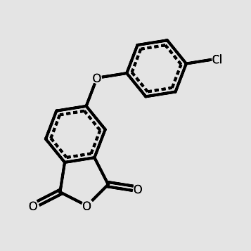 O=C1OC(=O)c2cc(Oc3ccc(Cl)cc3)ccc21